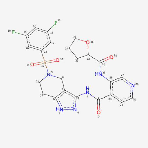 O=C(Nc1n[nH]c2c1CN(S(=O)(=O)c1cc(F)cc(F)c1)CC2)c1ccncc1NC(=O)C1CCCO1